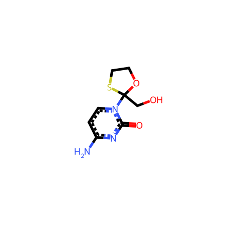 Nc1ccn(C2(CO)OCCS2)c(=O)n1